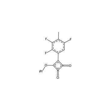 Cc1c(F)cc(-c2c(OC(C)C)c(=O)c2=O)c(F)c1F